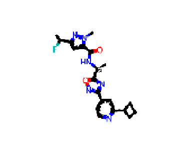 CC(F)c1cc(C(=O)N[C@@H](C)c2nc(-c3ccnc(C4CCC4)c3)no2)n(C)n1